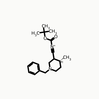 C[C@@H]1CCN(Cc2ccccc2)CC1C#[N+]C(=O)OC(C)(C)C